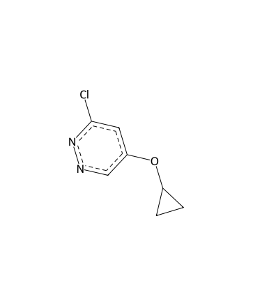 Clc1cc(OC2CC2)cnn1